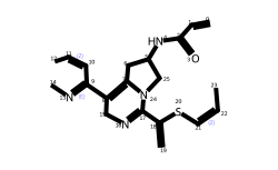 C=CC(=O)NC1CC2=C(C(/C=C\C)=N/C)CN=C(C(=C)S/C=C\C)N2C1